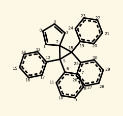 C1=CC2(C=C1)C(c1ccccc1)(c1ccccc1)C2(c1ccccc1)c1ccccc1